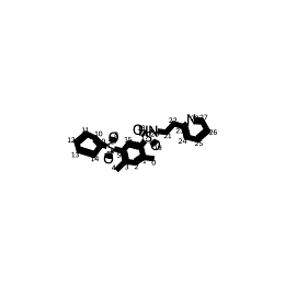 Cc1cc(C)c(S(=O)(=O)c2ccccc2)cc1S(=O)(=O)NCCc1ccccn1